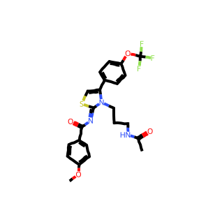 COc1ccc(C(=O)/N=c2\scc(-c3ccc(OC(F)(F)F)cc3)n2CCCNC(C)=O)cc1